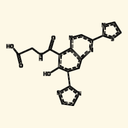 O=C(O)CNC(=O)c1c(O)c(-c2nccs2)cc2nc(-c3nccs3)cnc12